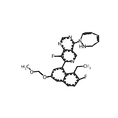 CCc1c(F)ccc2cc(OCOC)cc(-c3ncc4c(N5C=CC=CCN5)ncnc4c3F)c12